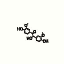 COc1cc(C(=O)C(O)c2ccc(O)c(OC)c2)ccc1O